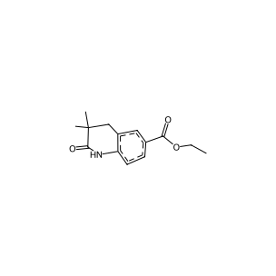 CCOC(=O)c1ccc2c(c1)CC(C)(C)C(=O)N2